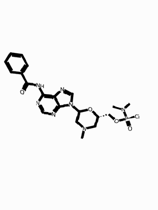 CN1CC(n2cnc3c(NC(=O)c4ccccc4)ncnc32)O[C@H](CO[P@](=O)(Cl)N(C)C)C1